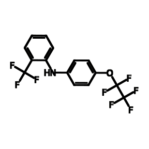 FC(F)(F)c1ccccc1Nc1ccc(OC(F)(F)C(F)(F)F)cc1